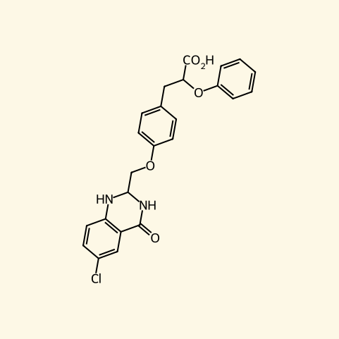 O=C1NC(COc2ccc(CC(Oc3ccccc3)C(=O)O)cc2)Nc2ccc(Cl)cc21